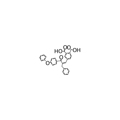 O=C(C(=Cc1ccc(C(=O)O)c(C(=O)O)c1)Cc1ccccc1)c1ccc(Oc2ccccc2)cc1